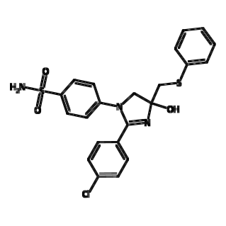 NS(=O)(=O)c1ccc(N2CC(O)(CSc3ccccc3)N=C2c2ccc(Cl)cc2)cc1